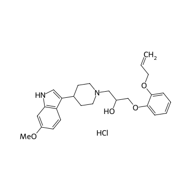 C=CCOc1ccccc1OCC(O)CN1CCC(c2c[nH]c3cc(OC)ccc23)CC1.Cl